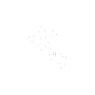 c1ccc(-c2c3c(c(-c4ccccc4)c4ccccc24)-c2ccc(-c4cccc(-c5nccc6ccccc56)n4)c4cccc-3c24)cc1